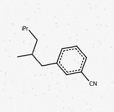 CC(C)CC(C)Cc1cccc(C#N)c1